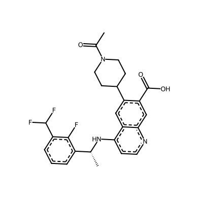 CC(=O)N1CCC(c2cc3c(N[C@H](C)c4cccc(C(F)F)c4F)ccnc3cc2C(=O)O)CC1